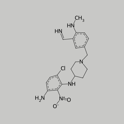 CNc1ccc(CN2CCC(Nc3c(Cl)ccc(N)c3[N+](=O)[O-])CC2)cc1C=N